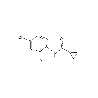 CCc1cc(Cl)ccc1NC(=O)C1CC1